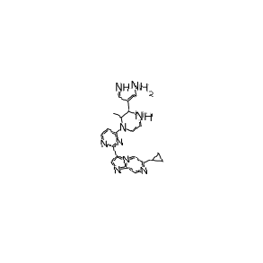 CC1C(/C(C=N)=C/N)NCCN1c1ccnc(-c2cnc3cnc(C4CC4)cn23)n1